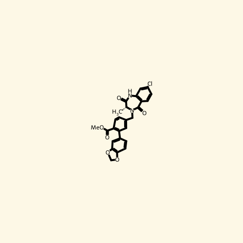 COC(=O)c1ccc(CN2C(=O)c3ccc(Cl)cc3NC(=O)[C@H]2C)cc1-c1ccc2c(c1)OCO2